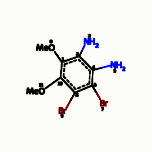 COc1c(N)c(N)c(Br)c(Br)c1OC